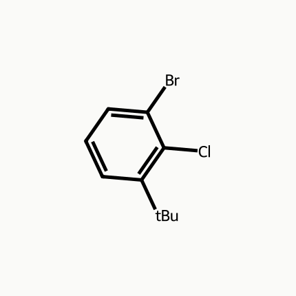 CC(C)(C)c1cccc(Br)c1Cl